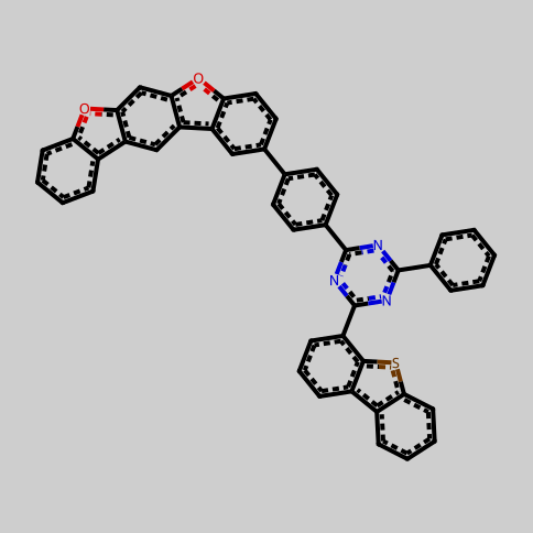 c1ccc(-c2nc(-c3ccc(-c4ccc5oc6cc7oc8ccccc8c7cc6c5c4)cc3)nc(-c3cccc4c3sc3ccccc34)n2)cc1